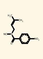 CC(C)=CCN(C#N)C(=O)c1ccc([N+](=O)[O-])cc1